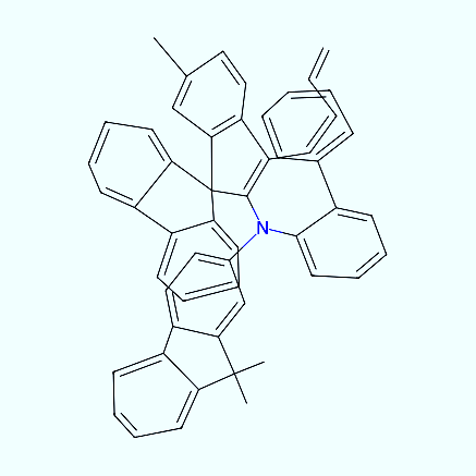 C=C/C=C\C1=C(N(c2ccc3c(c2)C(C)(C)c2ccccc2-3)c2ccccc2-c2ccccc2)C2(c3cc(C)ccc31)c1ccccc1-c1ccccc12